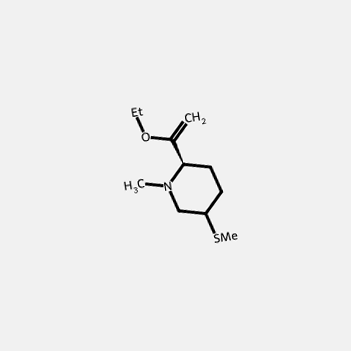 C=C(OCC)[C@H]1CCC(SC)CN1C